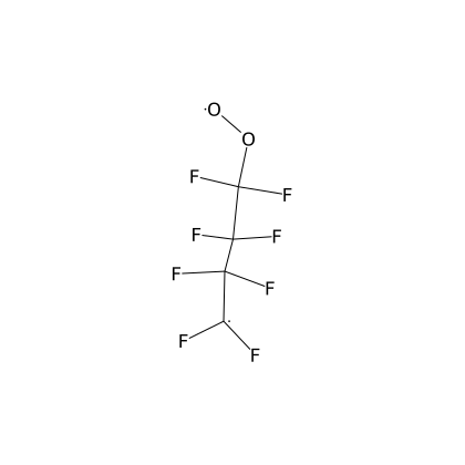 [O]OC(F)(F)C(F)(F)C(F)(F)[C](F)F